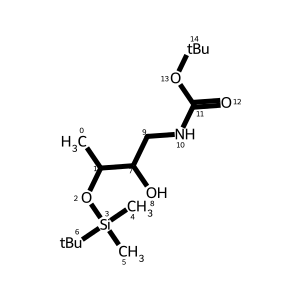 CC(O[Si](C)(C)C(C)(C)C)C(O)CNC(=O)OC(C)(C)C